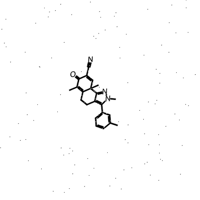 CC1=C2CCc3c(nn(C)c3-c3cccc(C)c3)C2(C)C=C(C#N)C1=O